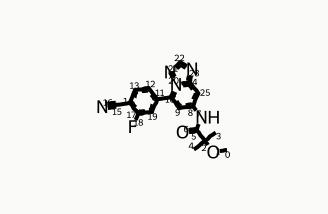 COC(C)(C)C(=O)Nc1cc(-c2ccc(C#N)c(F)c2)n2ncnc2c1